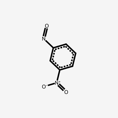 O=Nc1cccc([N+](=O)[O-])c1